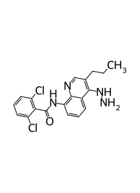 CCCc1cnc2c(NC(=O)c3c(Cl)cccc3Cl)cccc2c1NN